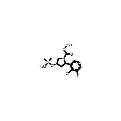 CC(C)(C)OC(=O)N1C[C@H](O[Si](C)(C)C(C)(C)C)CC1c1cncc(F)c1Cl